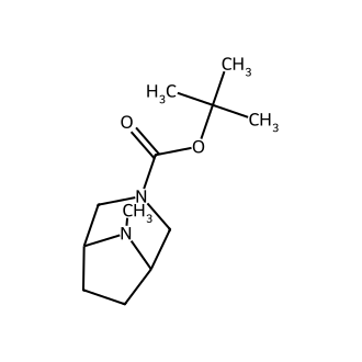 CN1C2CCC1CN(C(=O)OC(C)(C)C)C2